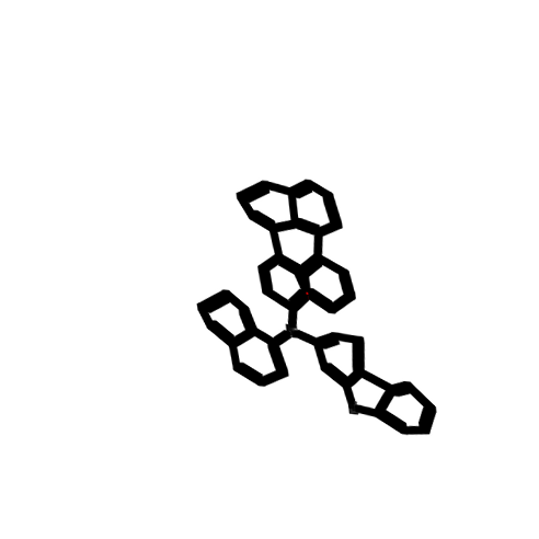 c1ccc(-c2cccc3cccc(-c4ccc(N(c5ccc6c(c5)sc5ccccc56)c5cccc6ccccc56)cc4)c23)cc1